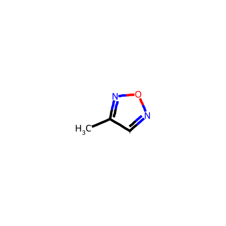 Cc1[c]non1